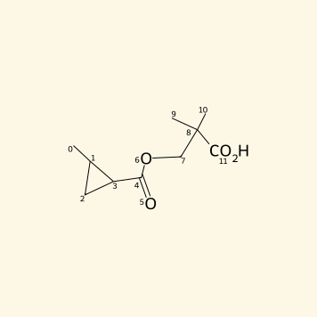 CC1CC1C(=O)OCC(C)(C)C(=O)O